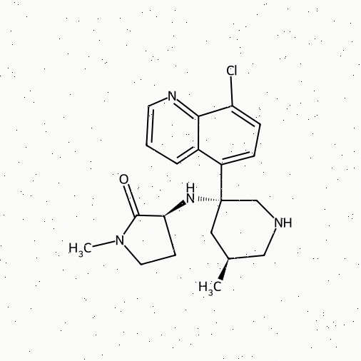 C[C@@H]1CNC[C@](N[C@H]2CCN(C)C2=O)(c2ccc(Cl)c3ncccc23)C1